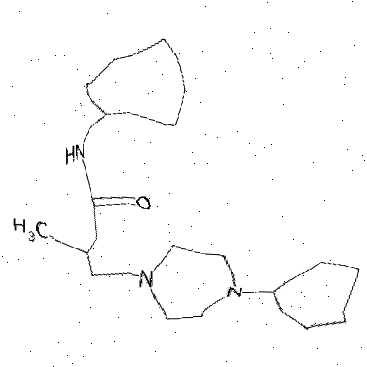 CC(CN1CCN(C2CCCC2)CC1)C(=O)NC1CCCCC1